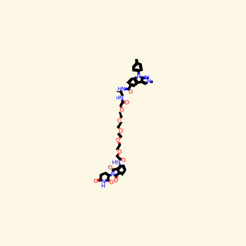 Cc1ccc(-n2c3ccc(C(=O)N[C@H](C)CNC(=O)COCCOCCOCCOCCOCC(=O)Nc4cccc5c4C(=O)N(C4CCC(=O)NC4=O)C5=O)cc3c3cn(C)nc32)cc1